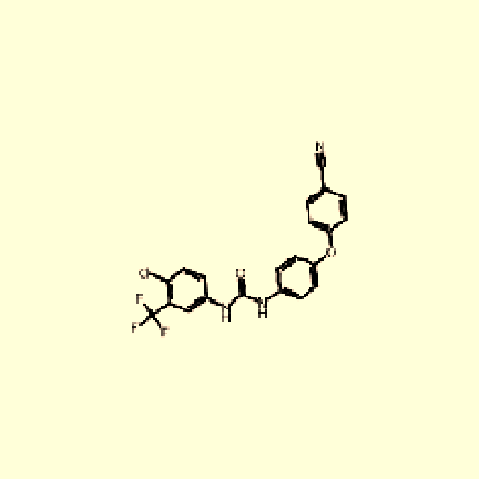 N#Cc1ccc(Oc2ccc(NC(=O)Nc3ccc(Cl)c(C(F)(F)F)c3)cc2)cc1